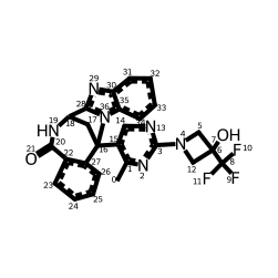 Cc1nc(N2CC(O)(C(F)(F)F)C2)ncc1C12CC(NC(=O)c3ccccc31)c1nc3ccccc3n12